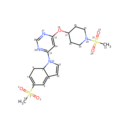 CS(=O)(=O)C1=CCC2C(=C1)C=CN2c1cc(OC2CCN(S(C)(=O)=O)CC2)ncn1